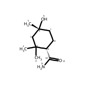 CC1(C)C[C@](C)(O)CC[C@@H]1C(N)=O